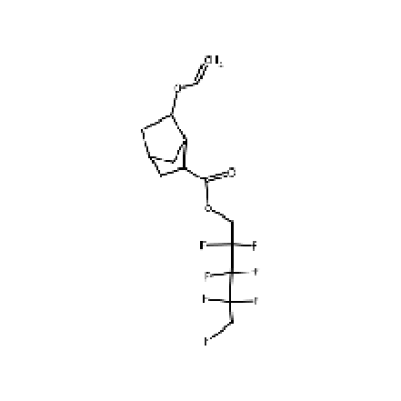 C=COC1CC2CC(C(=O)OCC(F)(F)C(F)(F)C(F)(F)CF)C1C2